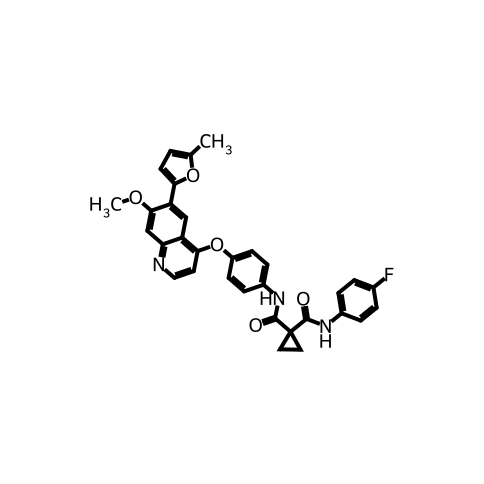 COc1cc2nccc(Oc3ccc(NC(=O)C4(C(=O)Nc5ccc(F)cc5)CC4)cc3)c2cc1-c1ccc(C)o1